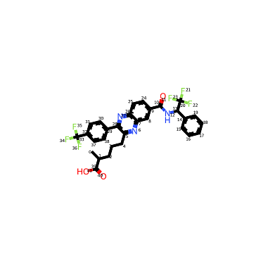 CC(CCCc1nc2cc(C(=O)NC(c3ccccc3)C(F)(F)F)ccc2nc1-c1ccc(C(F)(F)F)cc1)C(=O)O